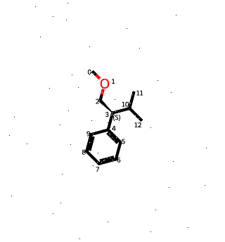 COC[C@H](c1ccccc1)C(C)C